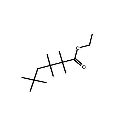 CCOC(=O)C(C)(C)C(C)(C)CC(C)(C)C